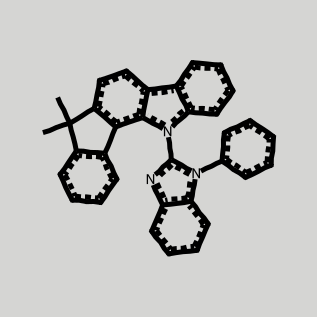 CC1(C)c2ccccc2-c2c1ccc1c3ccccc3n(-c3nc4ccccc4n3-c3ccccc3)c21